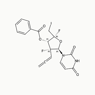 C=C=C[C@]1(F)[C@H](n2ccc(=O)[nH]c2=O)O[C@](F)(CI)[C@H]1OC(=O)c1ccccc1